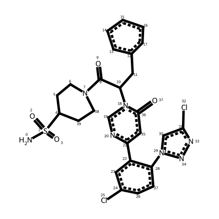 NS(=O)(=O)C1CCN(C(=O)C(Cc2ccccc2)n2cnc(-c3cc(Cl)ccc3-n3cc(Cl)nn3)cc2=O)CC1